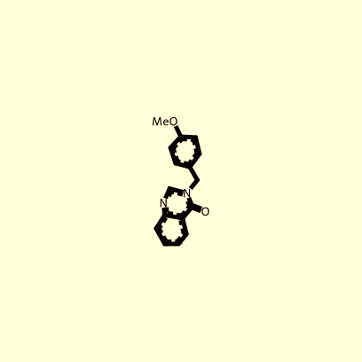 COc1ccc(Cn2cnc3cc[c]cc3c2=O)cc1